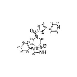 O=C(c1ccc(-c2ccncc2)s1)N1CCC2(CC1)C(=O)NCN2c1ccccc1